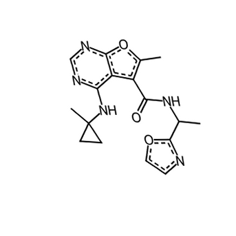 Cc1oc2ncnc(NC3(C)CC3)c2c1C(=O)NC(C)c1ncco1